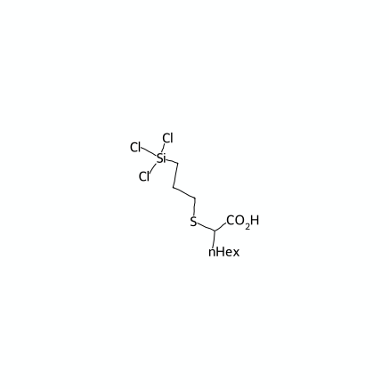 CCCCCCC(SCCC[Si](Cl)(Cl)Cl)C(=O)O